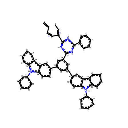 C=C/C=C\C(=C/C)c1nc(-c2ccccc2)nc(-c2cc(-c3ccc4c(c3)c3ccccc3n4-c3ccccc3)cc(-c3ccc4c(c3)c3ccccc3n4-c3ccccc3)c2)n1